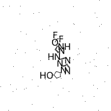 OC1CCC(n2ncc3ncc(Nc4cc(OC(F)F)[nH]n4)nc32)C1